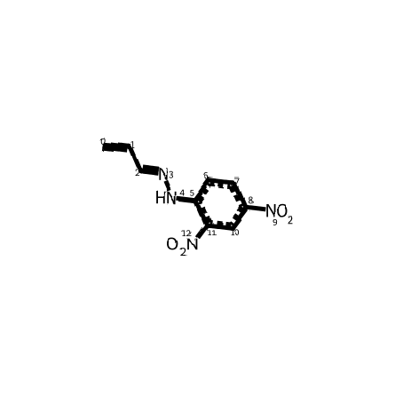 C=CC=NNc1ccc([N+](=O)[O-])cc1[N+](=O)[O-]